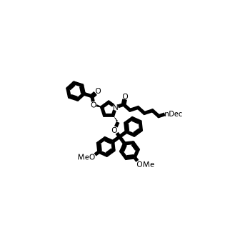 CCCCCCCCCCCCCCCC(=O)N1C[C@H](OC(=O)c2ccccc2)C[C@H]1COC(c1ccccc1)(c1ccc(OC)cc1)c1ccc(OC)cc1